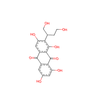 O=C1c2cc(O)cc(O)c2C(=O)c2c1cc(O)c(C(CO)CCO)c2O